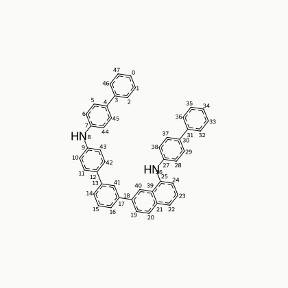 c1ccc(-c2ccc(Nc3ccc(-c4cccc(-c5ccc6cccc(Nc7ccc(-c8ccccc8)cc7)c6c5)c4)cc3)cc2)cc1